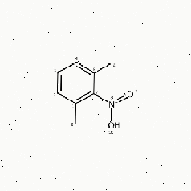 Cc1cccc(C)c1[N+](=O)O